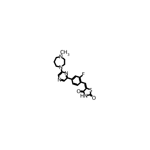 CN1CCCN(c2cncc(-c3ccc(C=C4SC(=O)NC4=O)c(F)c3)n2)CC1